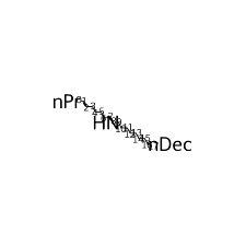 CCCC=CCCCCCNCCCCCCCCCCCCCCCCCC